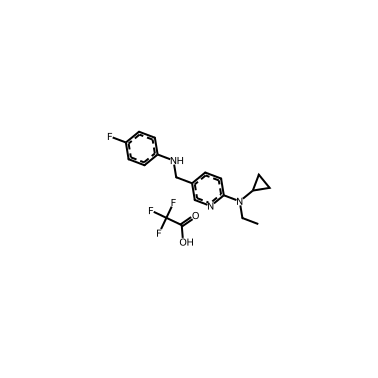 CCN(c1ccc(CNc2ccc(F)cc2)cn1)C1CC1.O=C(O)C(F)(F)F